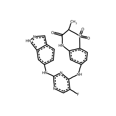 CC1C(=O)Nc2cc(Nc3nc(Nc4ccc5cn[nH]c5c4)ncc3F)ccc2S1(=O)=O